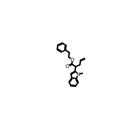 C=CCC(C(=O)OCCc1ccccc1)c1cc2ccccc2n1C